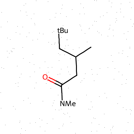 CNC(=O)CC(C)CC(C)(C)C